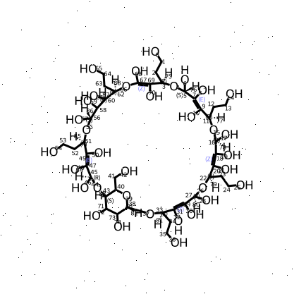 OCC[C@H]1O[C@H](O)/C(O)=C(\O)[C@@H](CCO)O[C@@H](O)/C(O)=C(/O)[C@@H](CCO)O[C@@H](O)/C(O)=C(/O)[C@@H](CCO)O[C@H]2OC(CO)[C@@H](O[C@@H](O)/C(O)=C(\O)[C@@H](CCO)O[C@H](O)C(O)[C@@H](O)[C@@H](CCO)O/C(O)=C/1O)C(O)C2O